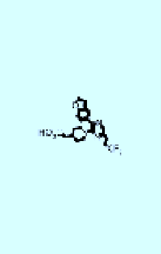 O=C(O)CC1CCN(c2nc(CCC(F)(F)F)cnc2-c2ccc3occc3c2)CC1